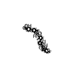 Cc1c(NC(=O)c2nc3c(n2C)CCN(C2CCC(C)(C(=O)O)CC2)C3)cccc1-c1cccc(NC(=O)c2nc3c(n2C)CCN(C)C3)c1Cl